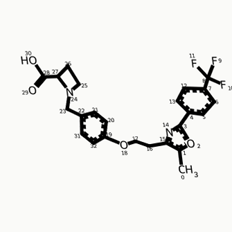 Cc1oc(-c2ccc(C(F)(F)F)cc2)nc1CCOc1ccc(CN2CCC2C(=O)O)cc1